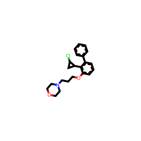 ClC1CC1c1c(OCCCN2CCOCC2)cccc1-c1ccccc1